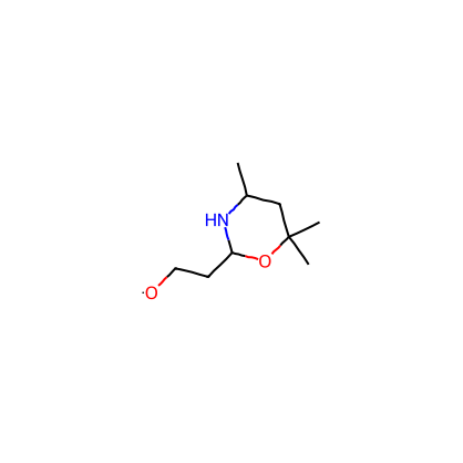 CC1CC(C)(C)OC(CC[O])N1